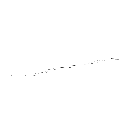 B=BB=BB=BB=BB=BCCC